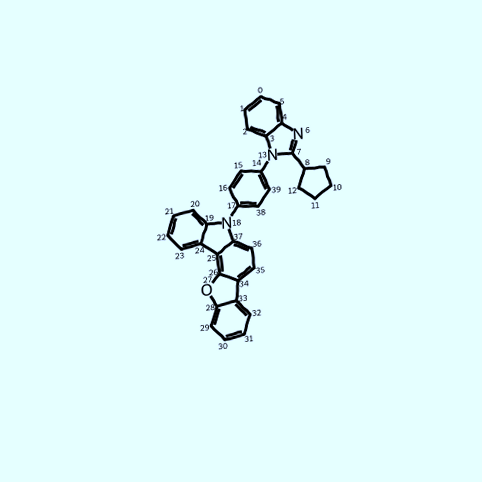 c1ccc2c(c1)nc(C1CCCC1)n2-c1ccc(-n2c3ccccc3c3c4oc5ccccc5c4ccc32)cc1